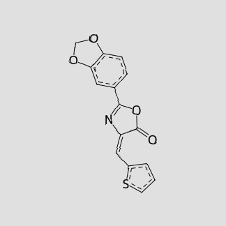 O=C1OC(c2ccc3c(c2)OCO3)=N/C1=C/c1cccs1